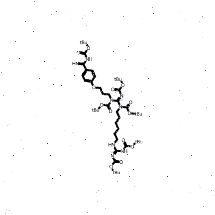 CC(C)(C)OC(=O)/N=C(/NCCCCCCN(C(=O)OC(C)(C)C)/C(=N/C(=O)OC(C)(C)C)N(CCCOc1ccc(C(=N)NC(=O)OC(C)(C)C)cc1)C(=O)OC(C)(C)C)NC(=O)OC(C)(C)C